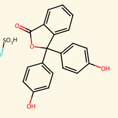 O=C1OC(c2ccc(O)cc2)(c2ccc(O)cc2)c2ccccc21.O=S(=O)(O)F